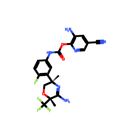 C[C@@]1(c2cc(NC(=O)Oc3ncc(C#N)cc3N)ccc2F)CO[C@@](C)(C(F)(F)F)C(N)=N1